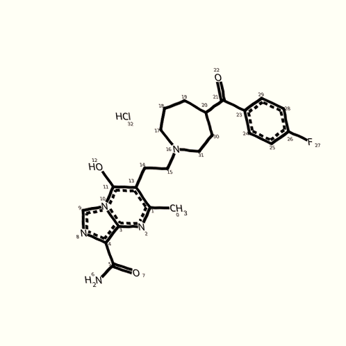 Cc1nc2c(C(N)=O)ncn2c(O)c1CCN1CCCC(C(=O)c2ccc(F)cc2)CC1.Cl